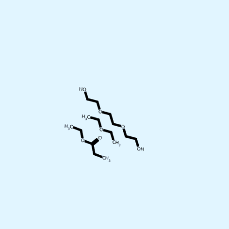 CCOC(=O)CC.CCOCC.OCCOCCOCCO